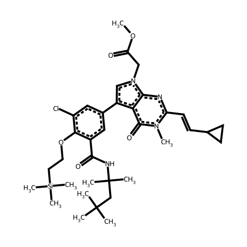 COC(=O)Cn1cc(-c2cc(Cl)c(OCC[Si](C)(C)C)c(C(=O)NC(C)(C)CC(C)(C)C)c2)c2c(=O)n(C)c(C=CC3CC3)nc21